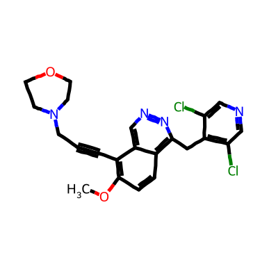 COc1ccc2c(Cc3c(Cl)cncc3Cl)nncc2c1C#CCN1CCOCC1